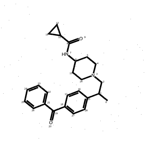 CC(CN1CCC(NC(=O)C2CC2)CC1)c1ccc(C(=O)c2ccccc2)cc1